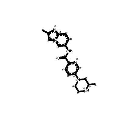 Cc1cn2cc(NC(=O)c3ccc(N4CCNC(C)C4)cn3)ccc2n1